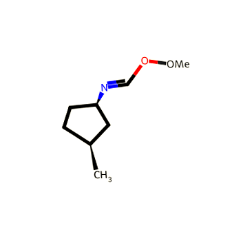 COO/C=N/[C@@H]1CC[C@H](C)C1